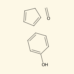 C1=CCC=C1.C=O.Oc1ccccc1